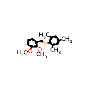 COc1cccc(C=Pc2c(C)cc(C)cc2C)c1OC